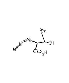 CC(C)C(O)C(N=[N+]=[N-])C(=O)O